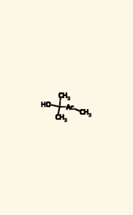 [CH3][Ac][C](C)(C)O